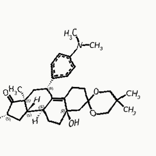 CC[C@H]1C[C@H]2[C@@H]3CC[C@@]4(O)CC5(CCC4=C3[C@@H](c3ccc(N(C)C)cc3)C[C@]2(C)C1=O)OCC(C)(C)CO5